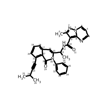 Cc1nn2cccnc2c1C(=O)NC(C)c1cc2cccc(C#CC(C)C)c2c(=O)n1-c1ccccc1